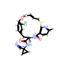 Cc1ccc2c(n1)SC/C=C/COc1ccc(cc1Cl)C[C@@H](C(=O)NC1(C#N)CC1)NC2=O